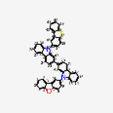 c1ccc2c(c1)oc1ccc(-n3c4ccccc4c4ccc(-c5ccc6c7ccccc7n(-c7ccc8sc9ccccc9c8c7)c6c5)cc43)cc12